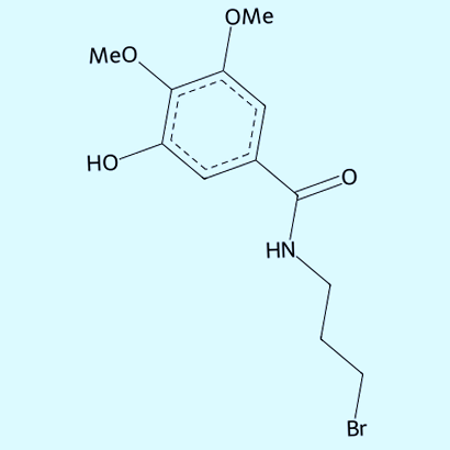 COc1cc(C(=O)NCCCBr)cc(O)c1OC